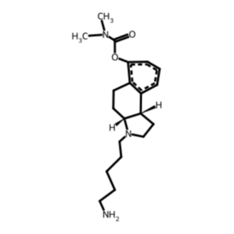 CN(C)C(=O)Oc1cccc2c1CC[C@@H]1[C@H]2CCN1CCCCCN